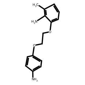 Cc1cccc(OCCOc2ccc(N)cc2)c1N